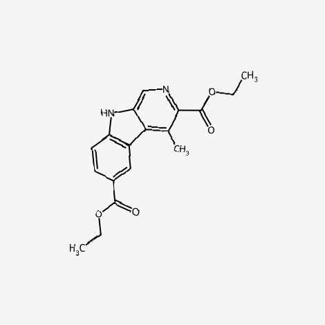 CCOC(=O)c1ccc2[nH]c3cnc(C(=O)OCC)c(C)c3c2c1